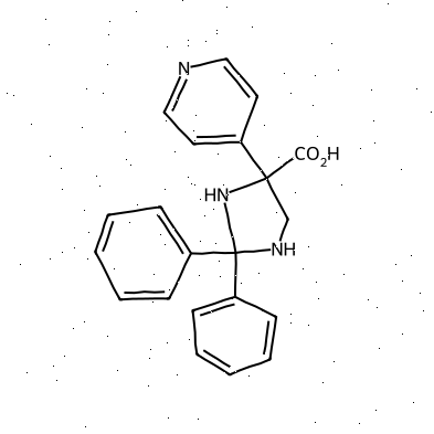 O=C(O)C1(c2ccncc2)CNC(c2ccccc2)(c2ccccc2)N1